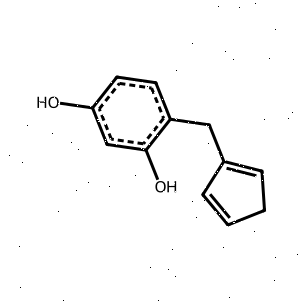 Oc1ccc(CC2=CCC=C2)c(O)c1